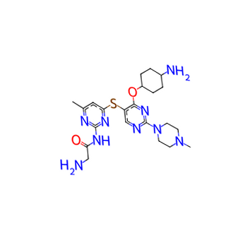 Cc1cc(Sc2cnc(N3CCN(C)CC3)nc2OC2CCC(N)CC2)nc(NC(=O)CN)n1